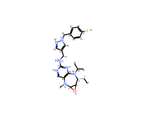 CC[C@@H]1C2OC2N(C)c2cnc(NCc3cnn(Cc4ccc(F)cc4)c3)nc2N1C(C)C